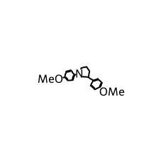 COc1ccc(C2CCCN(c3ccc(OC)cc3)C2)cc1